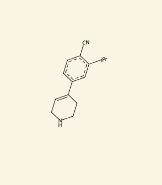 CC(C)c1cc(C2=CCNCC2)ccc1C#N